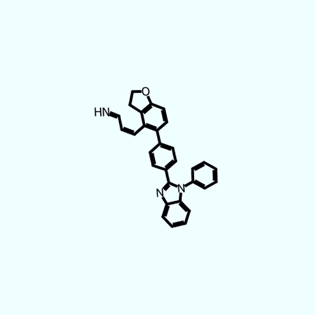 N=C/C=C\c1c(-c2ccc(-c3nc4ccccc4n3-c3ccccc3)cc2)ccc2c1CCO2